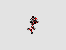 c1ccc(-c2cc(-c3ccccc3)cc(-n3c4ccccc4c4cc(-c5ccc6c(c5)c5ccccc5n6-c5cc([Si](c6ccccc6)(c6ccccc6)c6ccccc6)cc([Si](c6ccccc6)(c6ccccc6)c6ccccc6)c5)ccc43)c2)cc1